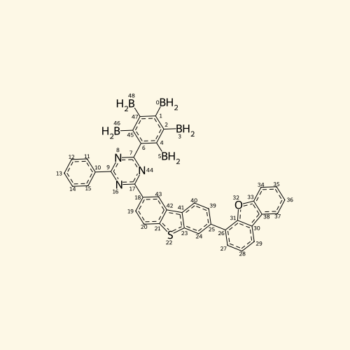 Bc1c(B)c(B)c(-c2nc(-c3ccccc3)nc(-c3ccc4sc5cc(-c6cccc7c6oc6ccccc67)ccc5c4c3)n2)c(B)c1B